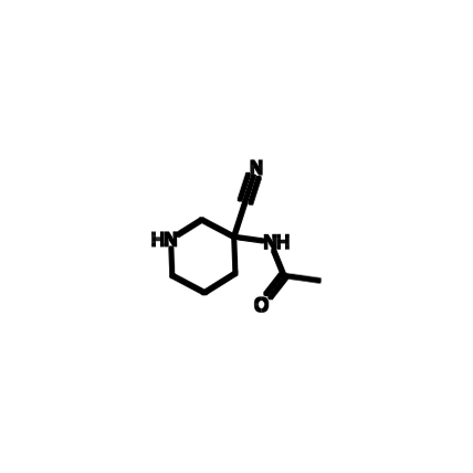 CC(=O)NC1(C#N)CCCNC1